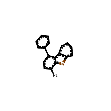 CCc1ccc(-c2ccccc2)c2c1sc1ccccc12